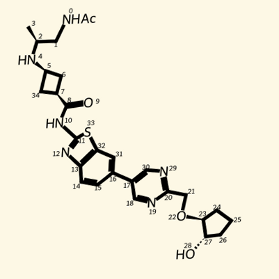 CC(=O)NC[C@H](C)N[C@H]1C[C@@H](C(=O)Nc2nc3ccc(-c4cnc(CO[C@H]5CCC[C@@H]5O)nc4)cc3s2)C1